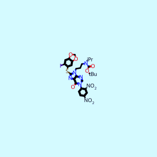 CC(C)N(CCCn1c(Sc2cc3c(cc2I)OCO3)nc2c(=O)n(-c3ccc([N+](=O)[O-])cc3[N+](=O)[O-])cnc21)C(=O)OC(C)(C)C